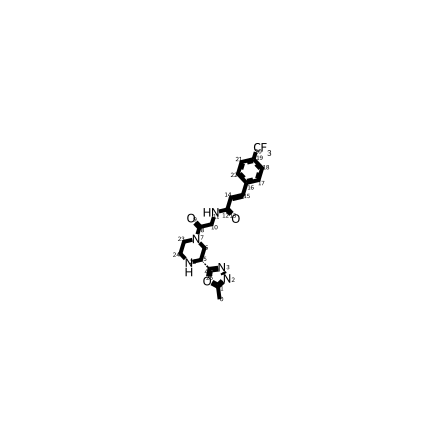 Cc1nnc([C@H]2CN(C(=O)CNC(=O)/C=C/c3ccc(C(F)(F)F)cc3)CCN2)o1